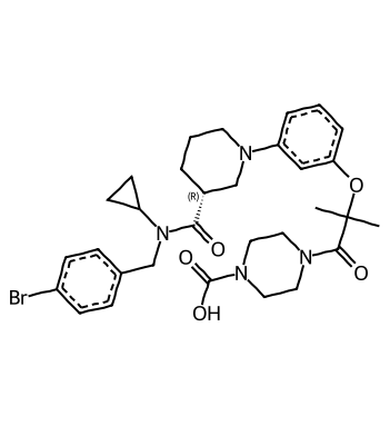 CC(C)(Oc1cccc(N2CCC[C@@H](C(=O)N(Cc3ccc(Br)cc3)C3CC3)C2)c1)C(=O)N1CCN(C(=O)O)CC1